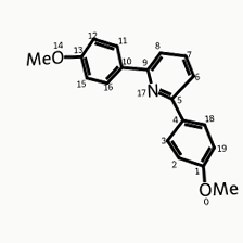 COc1ccc(-c2cccc(-c3ccc(OC)cc3)n2)cc1